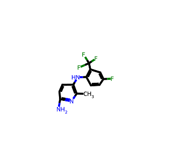 Cc1nc(N)ccc1Nc1ccc(F)cc1C(F)(F)F